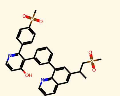 CC(CS(C)(=O)=O)c1cc(-c2cccc(-c3c(O)ccnc3-c3ccc(S(C)(=O)=O)cc3)c2)c2ncccc2c1